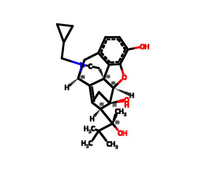 CC(C)(C)[C@@](C)(O)[C@H]1C2=C3[C@H]4Cc5ccc(O)c6c5[C@@]3(CCN4CC3CC3)[C@@H](O6)[C@@]1(O)C2